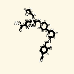 N#Cc1ccc(COc2cccc(C3CCN(Cc4nn5nc(C(=O)O)cc5n4CC4CCO4)CC3)n2)c(F)c1